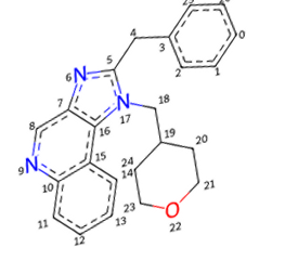 c1ccc(Cc2nc3cnc4ccccc4c3n2CC2CCOCC2)cc1